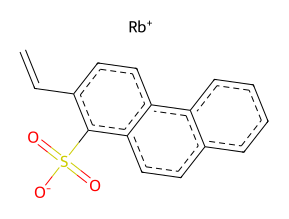 C=Cc1ccc2c(ccc3ccccc32)c1S(=O)(=O)[O-].[Rb+]